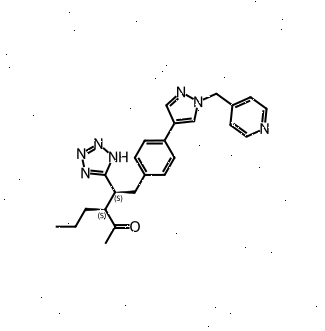 CCC[C@H](C(C)=O)[C@H](Cc1ccc(-c2cnn(Cc3ccncc3)c2)cc1)c1nnn[nH]1